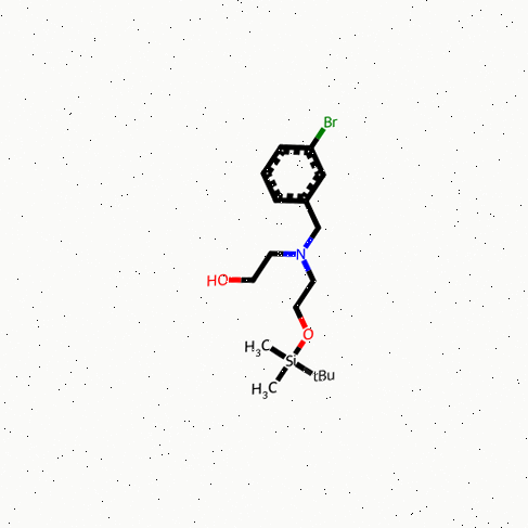 CC(C)(C)[Si](C)(C)OCCN(CCO)Cc1cccc(Br)c1